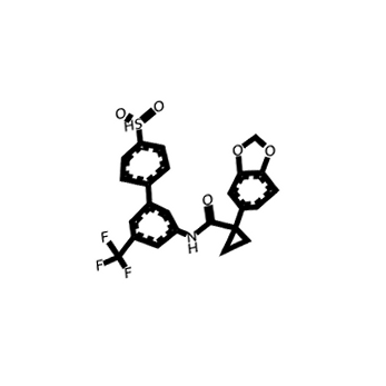 O=C(Nc1cc(-c2ccc([SH](=O)=O)cc2)cc(C(F)(F)F)c1)C1(c2ccc3c(c2)OCO3)CC1